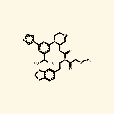 COCC(=O)N(CCc1ccc2c(c1)OCO2)C(=O)CC1CNCCN1c1cc(C(C)C)nc(-n2ccnc2)n1